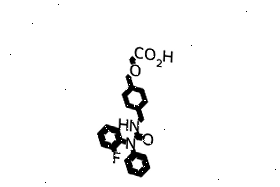 O=C(O)COCC1CCC(CNC(=O)N(c2ccccc2)c2ccccc2F)CC1